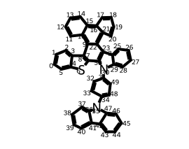 c1ccc2c(c1)sc1c2c2c3ccccc3c3ccccc3c2c2c3ccccc3n(-c3ccc(-n4c5ccccc5c5ccccc54)cc3)c12